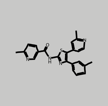 Cc1cccc(-c2nc(NC(=O)c3ccc(C)nc3)sc2-c2ccnc(C)c2)c1